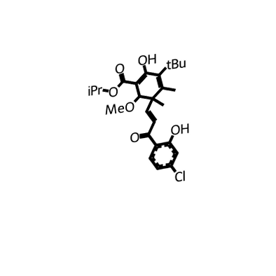 COC1C(C(=O)OC(C)C)=C(O)C(C(C)(C)C)=C(C)C1(C)C=CC(=O)c1ccc(Cl)cc1O